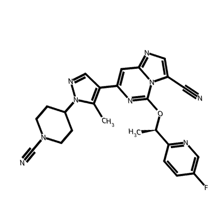 Cc1c(-c2cc3ncc(C#N)n3c(O[C@H](C)c3ccc(F)cn3)n2)cnn1C1CCN(C#N)CC1